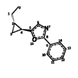 CC[C@H]1C[C@@H]1c1cnc(-c2ccccc2)o1